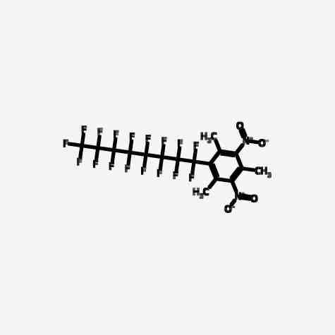 Cc1c([N+](=O)[O-])c(C)c(C(F)(F)C(F)(F)C(F)(F)C(F)(F)C(F)(F)C(F)(F)C(F)(F)C(F)(F)F)c(C)c1[N+](=O)[O-]